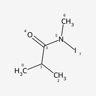 CC(C)C(=O)N(C)I